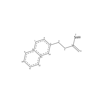 C=[C]([SnH])CCc1ccc2ccccc2c1